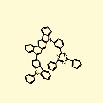 c1ccc(-c2nc(-c3ccccc3)nc(-c3cccc(-n4c5ccccc5c5cc6c(cc(-c7ccc8c(c7)c7ccccc7n8-c7ccccc7)c7ccccc76)cc54)c3)n2)cc1